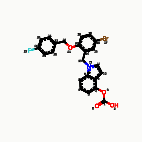 O=C(O)Oc1cccc2c1ccn2Cc1cc(Br)ccc1OCc1ccc(F)cc1